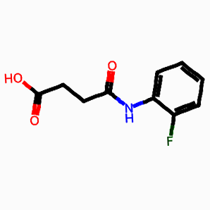 O=C(O)CCC(=O)Nc1ccccc1F